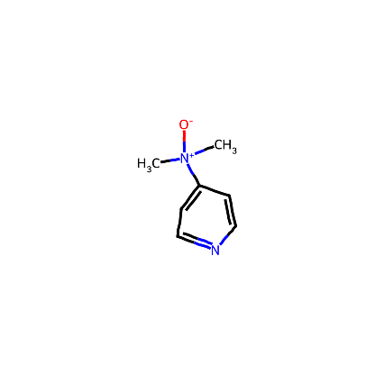 C[N+](C)([O-])c1ccncc1